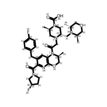 C[C@@H]1CN(CC(=O)N2c3cc(Cc4ccc(F)cc4)c(C(=O)N4CC[C@@H](F)C4)nc3OC[C@@H]2C)[C@@H](CN2[C@H](C)COC[C@H]2C)CN1C(=O)O